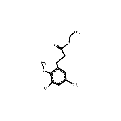 CCOC(=O)CCc1cc(C)cc(C)c1OP